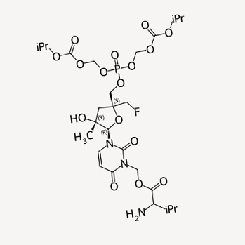 CC(C)OC(=O)OCOP(=O)(OCOC(=O)OC(C)C)OC[C@]1(CF)C[C@@](C)(O)[C@H](n2ccc(=O)n(COC(=O)C(N)C(C)C)c2=O)O1